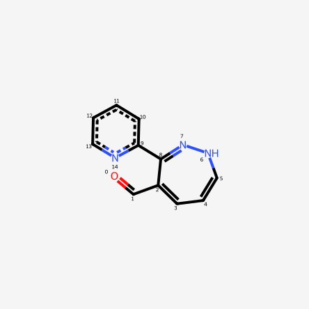 O=CC1=CC=CNN=C1c1ccccn1